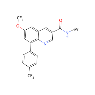 CC(C)NC(=O)c1cnc2c(-c3ccc(C(F)(F)F)cc3)cc(OC(F)(F)F)cc2c1